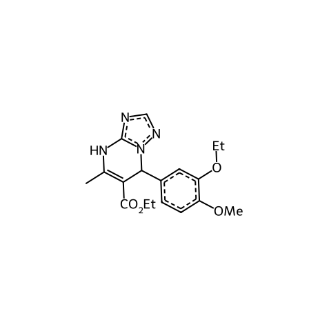 CCOC(=O)C1=C(C)Nc2ncnn2C1c1ccc(OC)c(OCC)c1